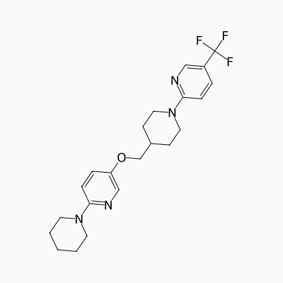 FC(F)(F)c1ccc(N2CCC(COc3ccc(N4CCCCC4)nc3)CC2)nc1